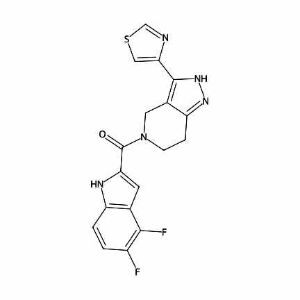 O=C(c1cc2c(F)c(F)ccc2[nH]1)N1CCc2n[nH]c(-c3cscn3)c2C1